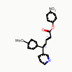 COc1ccc(/C(=C\C=C\C(=O)Oc2ccc([N+](=O)[O-])cc2)c2cccnc2)cc1